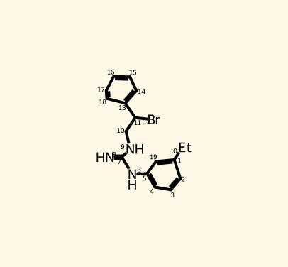 CCc1cccc(NC(=N)NCC(Br)c2ccccc2)c1